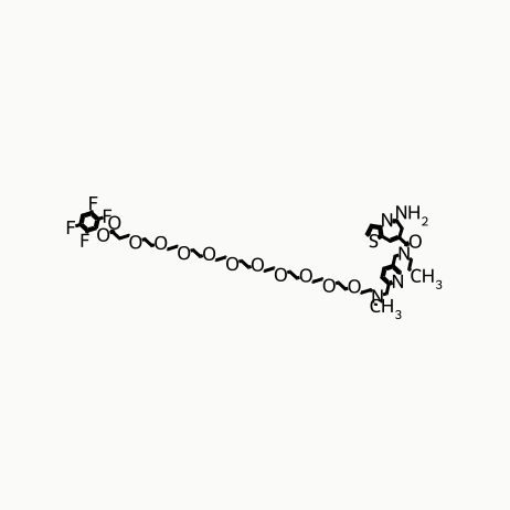 CCCN(Cc1ccc(CN(C)CCOCCOCCOCCOCCOCCOCCOCCOCCOCCOCCC(=O)Oc2c(F)c(F)cc(F)c2F)nc1)C(=O)C1=Cc2sccc2N=C(N)C1